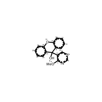 COc1ncncc1C1(O)c2ccccc2Oc2ccccc21